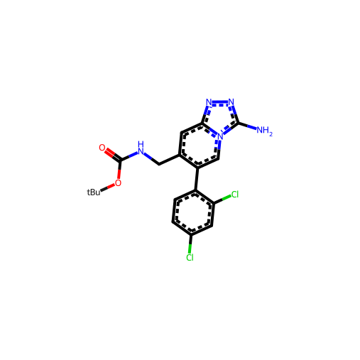 CC(C)(C)OC(=O)NCc1cc2nnc(N)n2cc1-c1ccc(Cl)cc1Cl